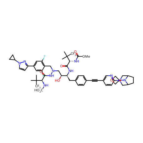 COC(=O)N[C@H](C(=O)N[C@@H](Cc1ccc(C#Cc2ccc(N3CC4CCC(C3)N4C3COC3)nc2)cc1)[C@@H](O)CN(Cc1c(F)cc(-c2ccn(C3CC3)n2)cc1F)NC(=O)[C@@H](NC(=O)O)C(C)(C)C(F)(F)F)C(C)(C)C(F)(F)F